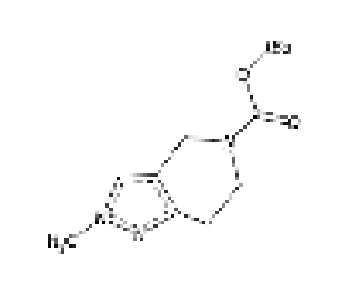 Cn1cc2c(n1)CCN(C(=O)OC(C)(C)C)C2